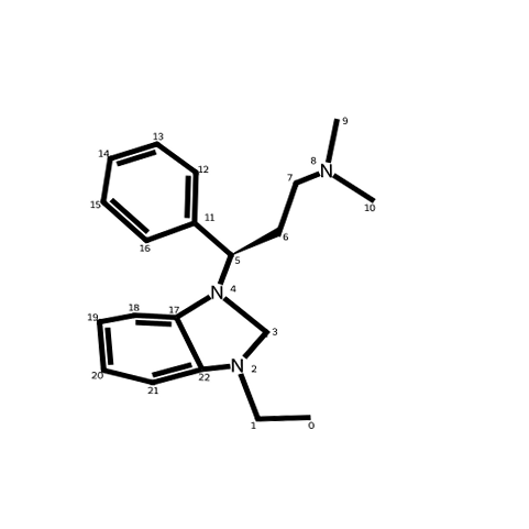 CCN1[CH]N([C@H](CCN(C)C)c2ccccc2)c2ccccc21